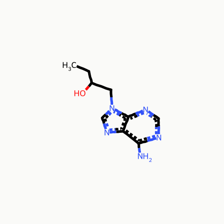 CCC(O)Cn1cnc2c(N)ncnc21